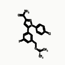 C[C@@H](OCc1cc(F)cc(-c2cc(C(N)=O)nn2-c2ccc(Cl)cc2)c1)C(F)(F)F